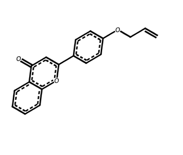 C=CCOc1ccc(-c2cc(=O)c3ccccc3o2)cc1